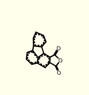 O=C1OC(=O)c2c1cc1cccc3c1c2-c1ccccc1-3